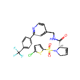 O=C(NCc1ccnc(-c2ccc(C(F)(F)F)cc2)c1)[C@@H]1C=CCN1S(=O)(=O)c1ccc(Cl)s1